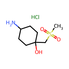 CS(=O)(=O)CC1(O)CCC(N)CC1.Cl